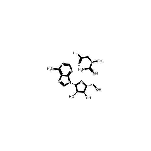 CN(CC(=O)O)C(=N)N.Nc1ncnc2c1ncn2[C@@H]1O[C@H](CO)[C@@H](O)[C@H]1O